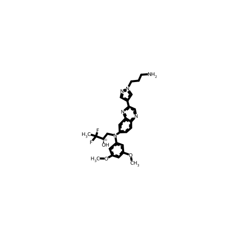 COc1cc(OC)cc(N(C[C@H](O)C(C)(F)F)c2ccc3ncc(-c4cnn(CCCN)c4)nc3c2)c1